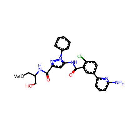 COCC(CO)NC(=O)c1cc(NC(=O)c2cc(-c3cccc(N)n3)ccc2Cl)n(-c2ccccc2)n1